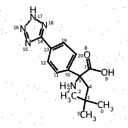 CC(C)(C)CC(N)(C(=O)O)c1ccc(-c2nn[nH]n2)cc1